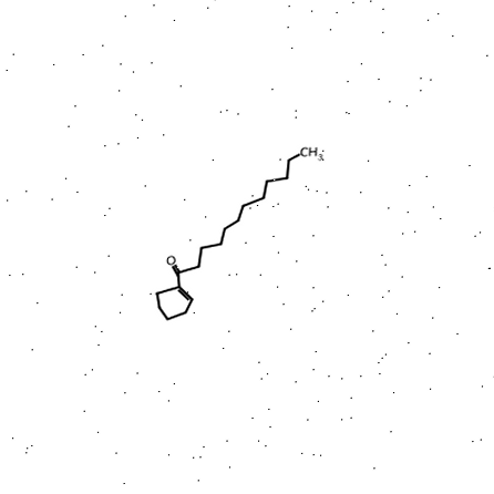 CCCCCCCCCCCC(=O)C1=CCCCC1